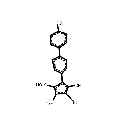 CCc1c(C#N)c(-c2ccc(-c3ccc(C(=O)O)cc3)cc2)c(C(=O)O)n1C